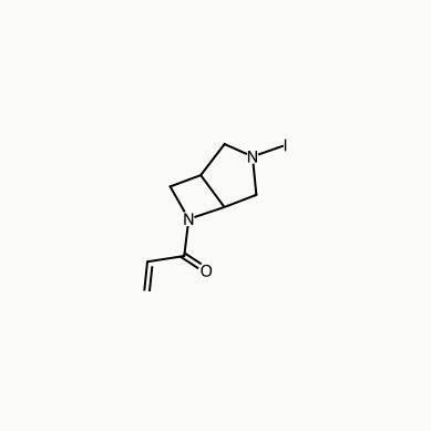 C=CC(=O)N1CC2CN(I)CC21